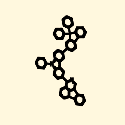 c1ccc(-n2c3ccc(-c4ccc5c(c4)C(c4ccccc4)(c4ccccc4)c4ccccc4-5)cc3c3cc(-c4ncc5c6c(cccc46)-c4ccccc4-5)ccc32)cc1